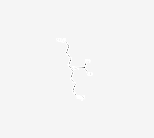 CCCCCCCCCCC(O)O.O=C(O)CCCCCCCCC(=O)O